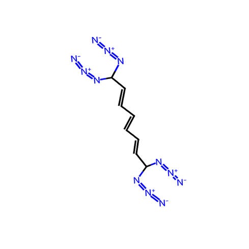 [N-]=[N+]=NC(/C=C/C=C/C=C/C(N=[N+]=[N-])N=[N+]=[N-])N=[N+]=[N-]